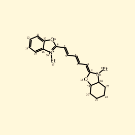 CCN1/C(=C/C=C/C=C/c2oc3ccccc3[n+]2CC)OC2CCCCC21